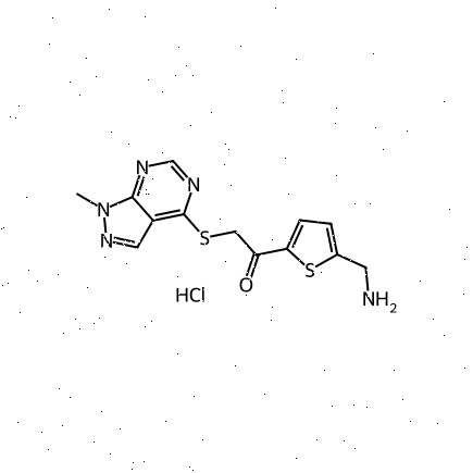 Cl.Cn1ncc2c(SCC(=O)c3ccc(CN)s3)ncnc21